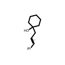 CC(C)/C=C/CC1(O)CCCCC1